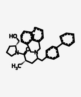 C[C@@H](CC(Cc1ccc(-c2ccccc2)cc1)N(Cc1ccccc1)Cc1ccccc1)C(=O)N1CCC[C@@H]1CO